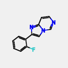 Fc1ccccc1-c1cn2cnccc2n1